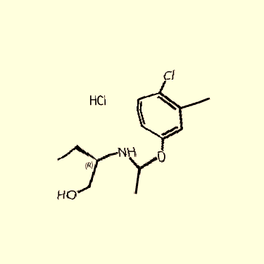 CC[C@H](CO)NC(C)Oc1ccc(Cl)c(C)c1.Cl